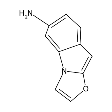 Nc1ccc2cc3occn3c2c1